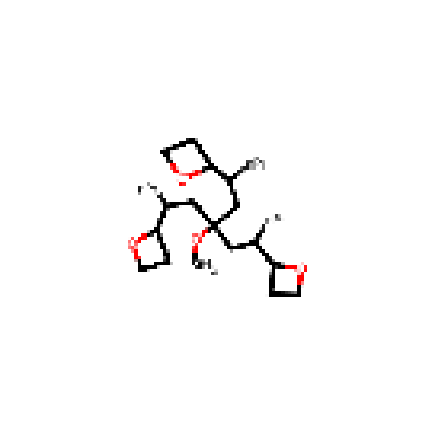 CCCC(CC(CC(CCC)C1CCO1)(CC(CCC)C1CCO1)O[SiH3])C1CCO1